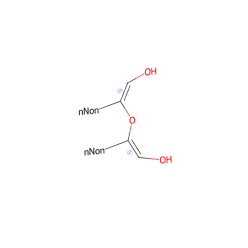 CCCCCCCCC/C(=C/O)O/C(=C\O)CCCCCCCCC